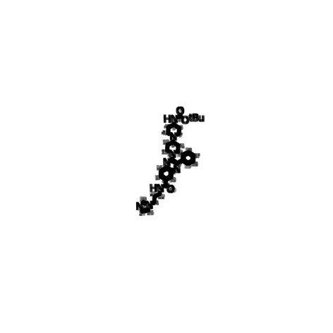 CC(C)(C)OC(=O)NC1CCN(C2CCN(c3nc4ccc(C(=O)NCCCn5ccnc5)cc4nc3-c3ccccc3)CC2)CC1